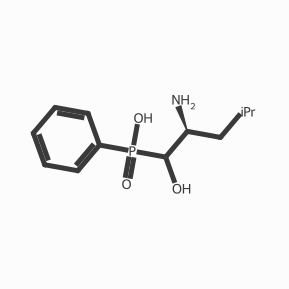 CC(C)C[C@H](N)C(O)P(=O)(O)c1ccccc1